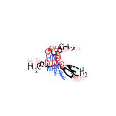 B=C1CCC(CC(=O)C(CCC(=O)NC(CCC(=O)O)C(=O)CC2CC[C@H](B)C(=C)C2)NC(=O)CCC(N)C(=O)CC2CC[C@H](B)C(=C)C2)CC1=C